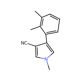 Cc1cccc(-c2cn(C)cc2C#N)c1C